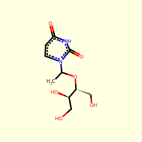 CC(O[C@H](CO)[C@H](O)CO)n1ccc(=O)[nH]c1=O